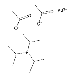 CC(=O)[O-].CC(=O)[O-].CC(C)P(C(C)C)C(C)C.[Pd+2]